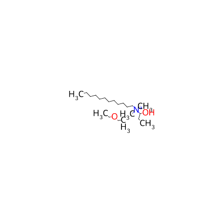 CCCCCCCCCCCC[N+](C)(C)C(O)CC.CCOCC